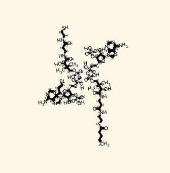 C=CCCC(=O)SCCNC(=O)CCNC(=O)[C@H](O)C(C)(C)COP(=O)(O)OP(=O)(O)OC[C@H]1O[C@@H](n2cnc3c(N)ncnc32)[C@H](O)[C@@H]1OP(=O)(O)O.CCC=CC(=O)C12N=CN=C(N)C1=NCN2[C@@H]1O[C@H](COP(=O)(O)OP(=O)(O)OCC(C)(C)[C@@H](O)C(=O)NCCC(=O)NCCS)[C@@H](OP(=O)(O)O)[C@H]1O